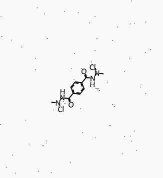 CN(Cl)NC(=O)c1ccc(C(=O)NN(C)Cl)cc1